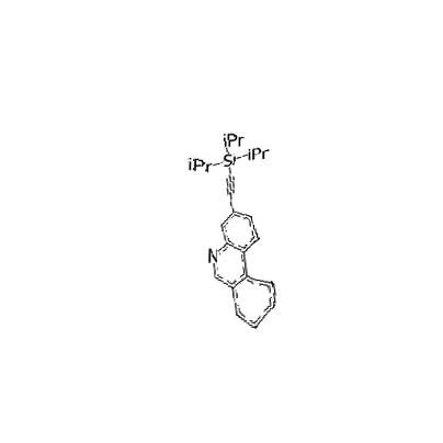 CC(C)[Si](C#Cc1ccc2c(c1)ncc1ccccc12)(C(C)C)C(C)C